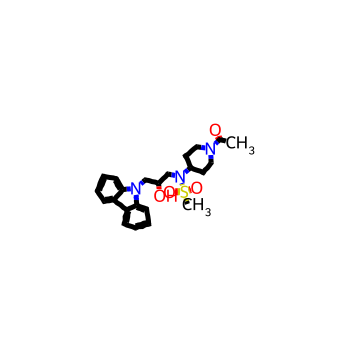 CC(=O)N1CCC(N(CC(O)Cn2c3ccccc3c3ccccc32)S(C)(=O)=O)CC1